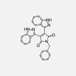 O=C1C(c2n[nH]c3ccccc23)=C(c2n[nH]c3ccccc23)C(=O)N1Cc1ccccc1